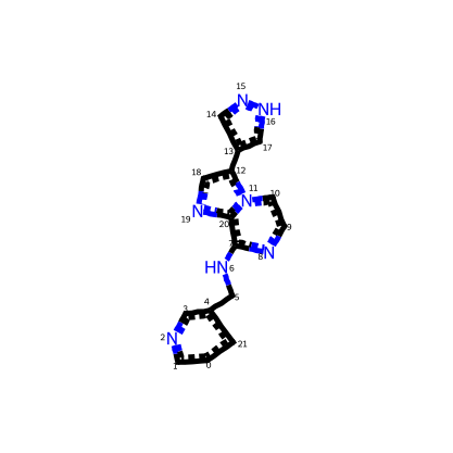 c1cncc(CNc2nccn3c(-c4cn[nH]c4)cnc23)c1